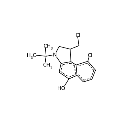 CC(C)(C)N1CC(CCl)c2c1cc(O)c1cccc(Cl)c21